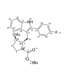 CC(=O)O[C@@H]1CCN(C(=O)OC(C)(C)C)[C@@H]1Cc1c(-c2ccc(F)cc2)[nH]c2ccccc12